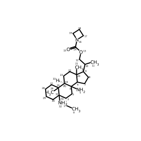 CC[C@H]1CC2(N)C3CCC(C(C)COC(=O)N4CCC4)C3(C)CC[C@@H]2C2(C)CCCCC12N